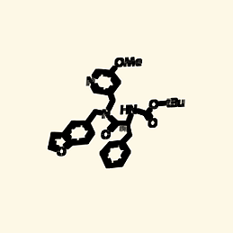 COc1cncc(CN(Cc2ccc3occc3c2)C(=O)[C@H](Cc2ccccc2)NC(=O)OC(C)(C)C)c1